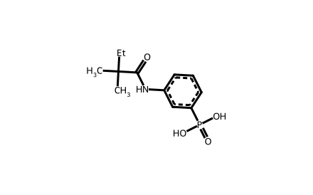 CCC(C)(C)C(=O)Nc1cccc(P(=O)(O)O)c1